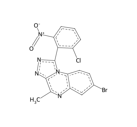 Cc1nc2cc(Br)ccc2n2c(-c3c(Cl)cccc3[N+](=O)[O-])nnc12